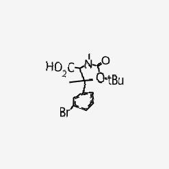 CN(C(=O)OC(C)(C)C)C(C(=O)O)C(C)(C)c1cccc(Br)c1